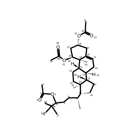 CC(=O)OC(CC[C@@H](C)[C@H]1CC[C@H]2[C@@H]3CC=C4C[C@@H](OC(C)=O)C[C@H](OC(C)=O)[C@]4(C)[C@H]3CC[C@]12C)C(C)(C)F